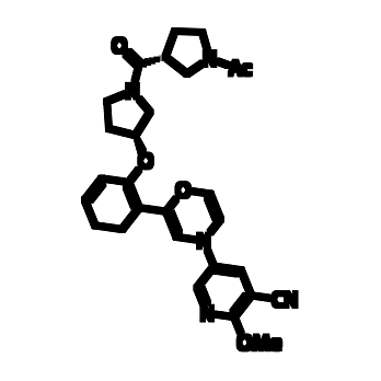 COc1ncc(N2C=COC(C3=C(O[C@H]4CCN(C(=O)[C@@H]5CCN(C(C)=O)C5)C4)C=CCC3)=C2)cc1C#N